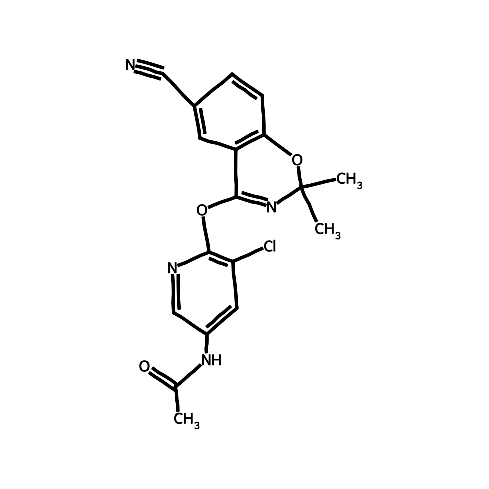 CC(=O)Nc1cnc(OC2=NC(C)(C)Oc3ccc(C#N)cc32)c(Cl)c1